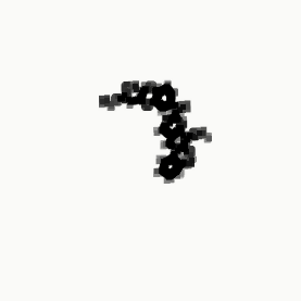 CN(C)CC1COc2ccc(Nc3ncc4c(n3)N(C)C(=O)N(c3ccccc3Br)C4)cc2O1